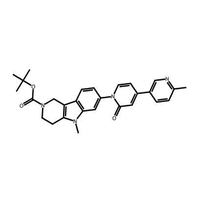 Cc1ccc(-c2ccn(-c3ccc4c5c(n(C)c4c3)CCN(C(=O)OC(C)(C)C)C5)c(=O)c2)cn1